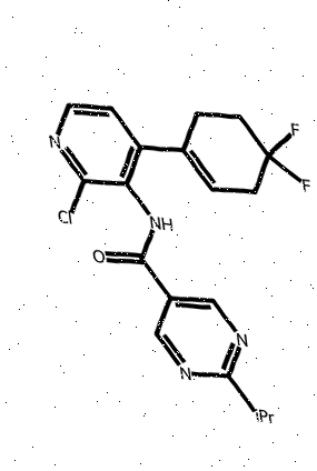 CC(C)c1ncc(C(=O)Nc2c(C3=CCC(F)(F)CC3)ccnc2Cl)cn1